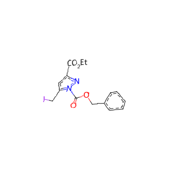 CCOC(=O)c1cc(CI)n(C(=O)OCc2ccccc2)n1